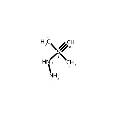 C#S(C)(C)NN